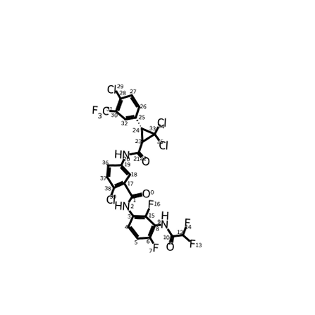 O=C(Nc1ccc(F)c(NC(=O)C(F)F)c1F)c1cc(NC(=O)C2[C@H](c3ccc(Cl)c(C(F)(F)F)c3)C2(Cl)Cl)ccc1Cl